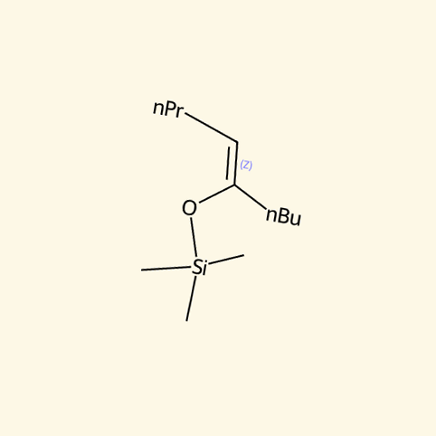 CCC/C=C(/CCCC)O[Si](C)(C)C